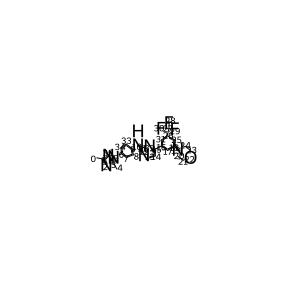 Cc1nc(C)n(-c2ccc(Nc3nccc(-c4cc(N5CCOCC5)cc(C(F)(F)F)c4)n3)cc2)n1